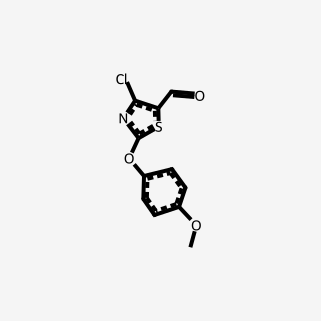 COc1ccc(Oc2nc(Cl)c(C=O)s2)cc1